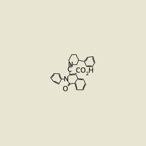 O=C(O)c1c(CN2CCCC(c3ccccc3)C2)n(-c2ccccc2)c(=O)c2ccccc12